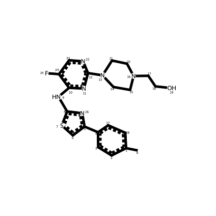 Cc1ccc(-c2csc(Nc3nc(N4CCN(CCO)CC4)ncc3F)n2)cc1